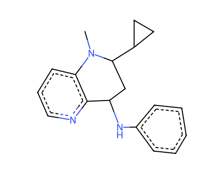 CN1c2cccnc2C(Nc2ccccc2)CC1C1CC1